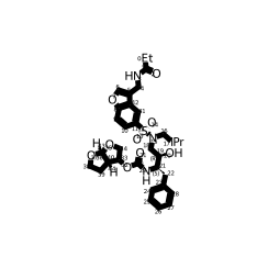 CCC(=O)NCc1coc2ccc(S(=O)(=O)N(CC(C)C)C[C@@H](O)[C@H](Cc3ccccc3)NC(=O)OC3CO[C@H]4OCC[C@@H]34)cc12